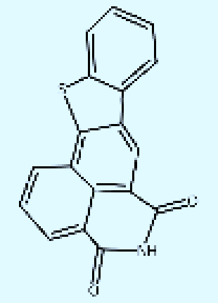 O=C1NC(=O)c2cc3c4ccccc4sc3c3cccc1c23